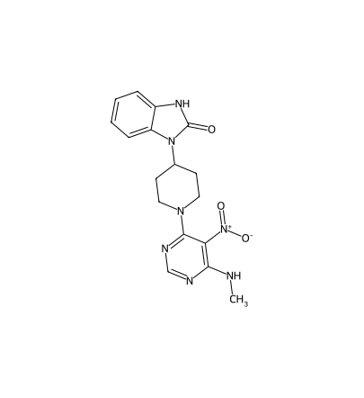 CNc1ncnc(N2CCC(n3c(=O)[nH]c4ccccc43)CC2)c1[N+](=O)[O-]